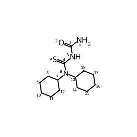 NC(=O)NC(=S)N(C1CCCCC1)C1CCCCC1